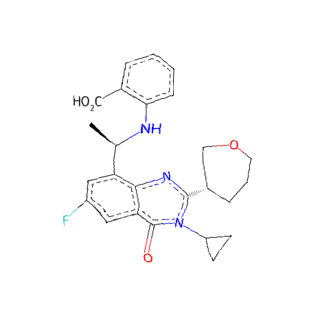 C[C@@H](Nc1ccccc1C(=O)O)c1cc(F)cc2c(=O)n(C3CC3)c([C@H]3CCCOC3)nc12